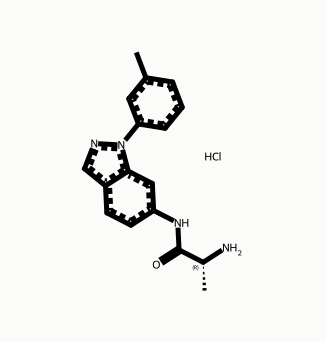 Cc1cccc(-n2ncc3ccc(NC(=O)[C@@H](C)N)cc32)c1.Cl